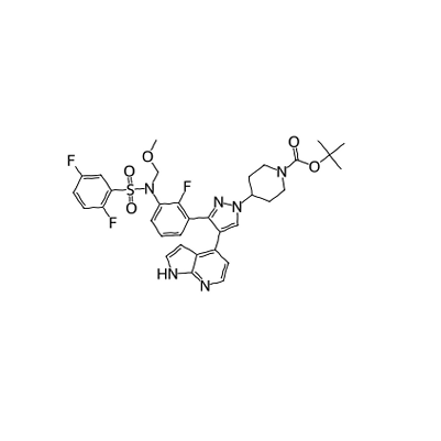 COCN(c1cccc(-c2nn(C3CCN(C(=O)OC(C)(C)C)CC3)cc2-c2ccnc3[nH]ccc23)c1F)S(=O)(=O)c1cc(F)ccc1F